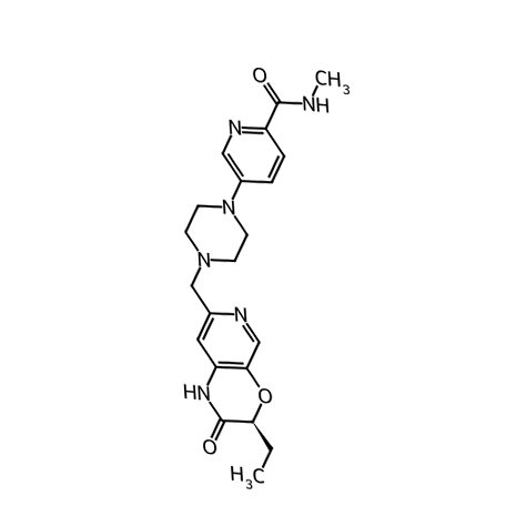 CC[C@@H]1Oc2cnc(CN3CCN(c4ccc(C(=O)NC)nc4)CC3)cc2NC1=O